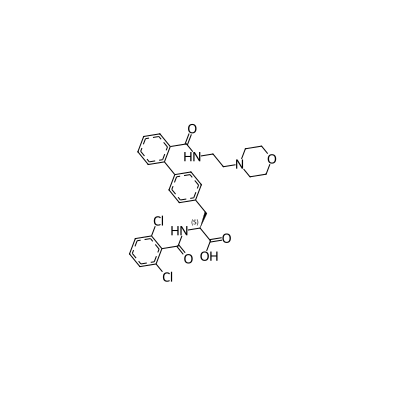 O=C(NCCN1CCOCC1)c1ccccc1-c1ccc(C[C@H](NC(=O)c2c(Cl)cccc2Cl)C(=O)O)cc1